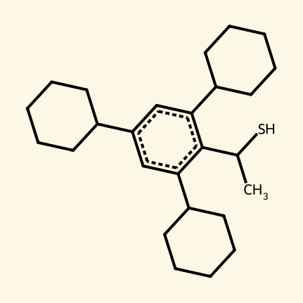 CC(S)c1c(C2CCCCC2)cc(C2CCCCC2)cc1C1CCCCC1